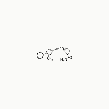 NC(=O)[C@@H]1CCN(CC#Cc2ccc(-c3ccccc3)c(C(F)(F)F)c2)C1